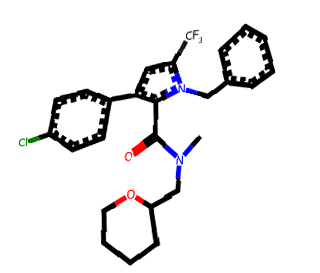 CN(CC1CCCCO1)C(=O)c1c(-c2ccc(Cl)cc2)cc(C(F)(F)F)n1Cc1ccccc1